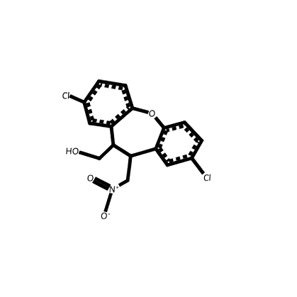 O=[N+]([O-])CC1c2cc(Cl)ccc2Oc2ccc(Cl)cc2C1CO